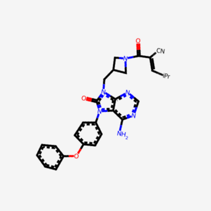 CC(C)C=C(C#N)C(=O)N1CC(Cn2c(=O)n(-c3ccc(Oc4ccccc4)cc3)c3c(N)ncnc32)C1